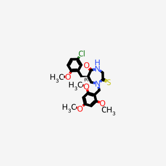 COc1cc(OC)c(CN2C[C@@H](Cc3cc(Cl)ccc3OC)C(=O)NCC2=S)c(OC)c1